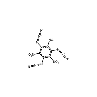 [N-]=[N+]=Nc1c([N+](=O)[O-])c(N=[N+]=[N-])c([N+](=O)[O-])c(N=[N+]=[N-])c1[N+](=O)[O-]